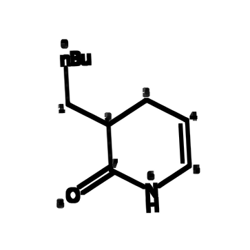 CCCCCC1CC=CNC1=O